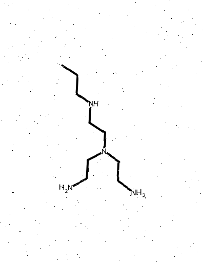 [CH2]CCNCCN(CCN)CCN